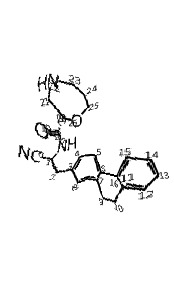 N#CC(Cc1ccc2c(c1)CCc1ccccc1-2)NC(=O)[C@@H]1CNCCCO1